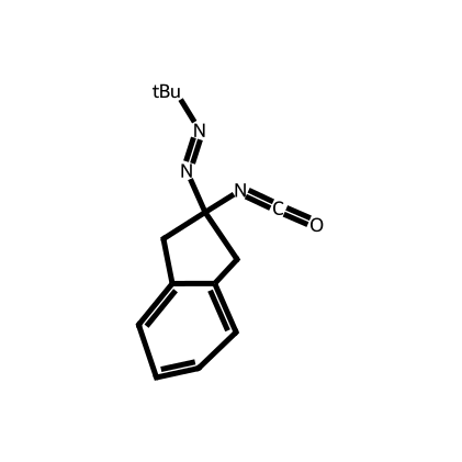 CC(C)(C)N=NC1(N=C=O)Cc2ccccc2C1